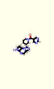 C[C@@H]1CCN(C(=O)c2cncnc2)C[C@@H]1c1ncc2cnc3[nH]ccc3n12